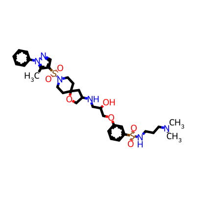 Cc1c(S(=O)(=O)N2CCC3(CC2)CC(NCC(O)COc2cccc(S(=O)(=O)NCCCN(C)C)c2)CO3)cnn1-c1ccccc1